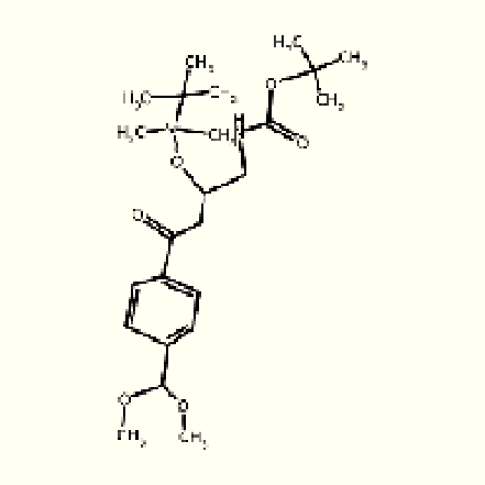 COC(OC)c1ccc(C(=O)C[C@H](CNC(=O)OC(C)(C)C)O[Si](C)(C)C(C)(C)C)cc1